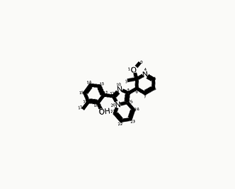 COC1(C)N=CC=CC1c1nc(-c2cccc(C)c2O)n2ccccc12